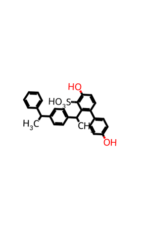 CC(c1ccccc1)c1ccc(C(C)c2c(-c3ccc(O)cc3)ccc(O)c2S(=O)(=O)O)cc1